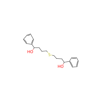 OC(CCCSCCCC(O)c1ccccc1)c1ccccc1